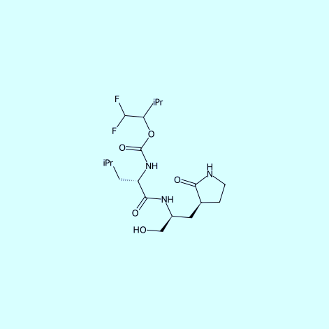 CC(C)C[C@H](NC(=O)OC(C(C)C)C(F)F)C(=O)N[C@H](CO)C[C@@H]1CCNC1=O